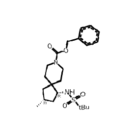 C[C@H]1C[C@@H](NS(=O)(=O)C(C)(C)C)C2(CCN(C(=O)OCc3ccccc3)CC2)C1